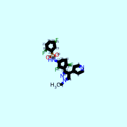 CCn1cc(-c2ccncc2)c(-c2c(F)ccc(NS(=O)(=O)c3cc(F)ccc3F)c2F)n1